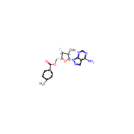 CC(=O)O[C@@H]1[C@H](F)[C@@H](COC(=O)c2ccc(C)cc2)O[C@H]1n1ncc2c(N)ncnc21